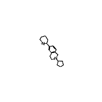 c1cc2c(cc1C1CCCC[N]1)CCN(C1CCCC1)C2